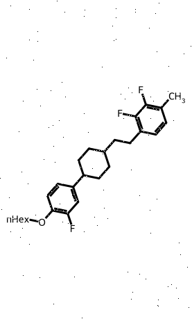 CCCCCCOc1ccc(C2CCC(CCc3ccc(C)c(F)c3F)CC2)cc1F